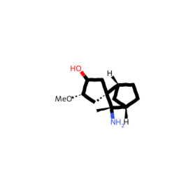 CO[C@H]1C[C@]2(CC1O)[C@@H]1CC[C@@H](C1)[C@]2(C)N